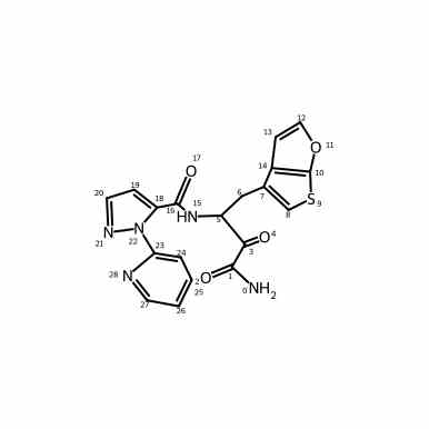 NC(=O)C(=O)C(Cc1csc2occc12)NC(=O)c1ccnn1-c1ccccn1